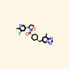 Cc1ncc([C@@H]2CCON2C(=O)[C@H]2CC[C@H](Cc3cc(C)c4ncnn4c3)CC2)cc1F